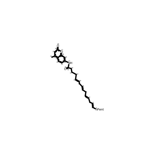 CCCCCC=CCC=CCC=CCC=CCCCC(=O)Nc1ccc2c(C)cc(=O)oc2c1